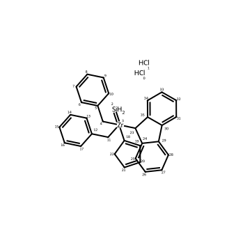 Cl.Cl.[SiH2]=[Zr]([CH2]c1ccccc1)([CH2]c1ccccc1)([C]1=CC=CC1)[CH]1c2ccccc2-c2ccccc21